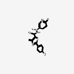 Cc1nc(-c2ccc(Cl)cc2)sc1C(=O)NNc1ccc(F)nc1